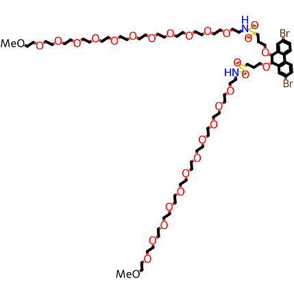 COCCOCCOCCOCCOCCOCCOCCOCCOCCOCCOCCOCCNS(=O)(=O)CCCOC1c2cc(Br)ccc2-c2ccc(Br)cc2C1OCCCS(=O)(=O)NCCOCCOCCOCCOCCOCCOCCOCCOCCOCCOCCOCCOC